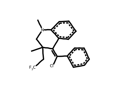 CN1CC(C)(CC(F)(F)F)/C(=C(\Cl)c2ccccc2)c2ccccc21